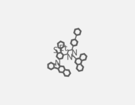 CCC1C(c2ccc(-c3ccccc3)cc2)=NC(c2cc3ccccc3c3ccccc23)=NC1c1cc(-n2c3ccccc3c3cc4ccccc4cc32)cc2sc3ccccc3c12